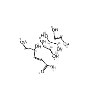 O=C(O)C=CC(O)CO.OCCO.OCCO.OCCO